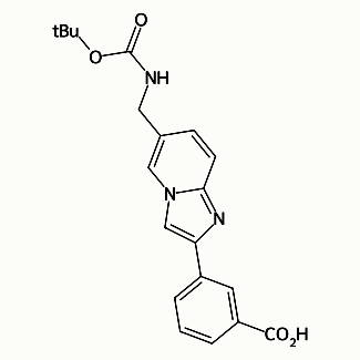 CC(C)(C)OC(=O)NCc1ccc2nc(-c3cccc(C(=O)O)c3)cn2c1